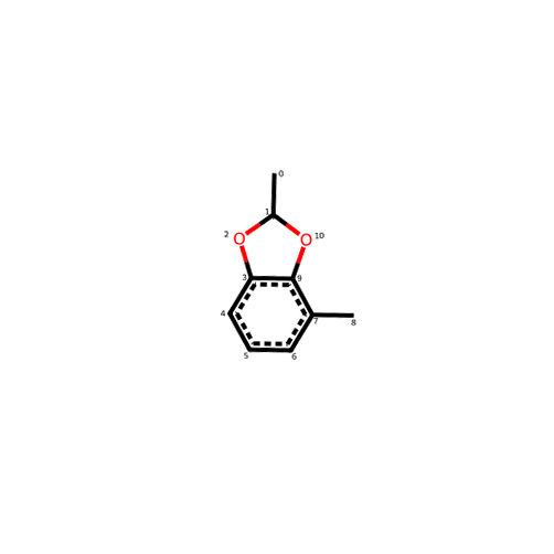 C[C]1Oc2cccc(C)c2O1